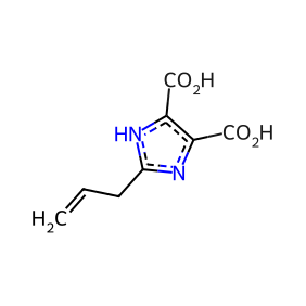 C=CCc1nc(C(=O)O)c(C(=O)O)[nH]1